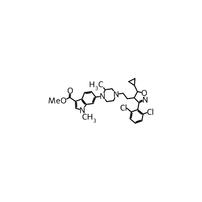 COC(=O)c1cn(C)c2cc(N3CCN(CCC4C(c5c(Cl)cccc5Cl)=NOC4C4CC4)CC3C)ccc12